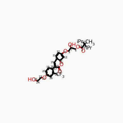 CC(C)C(C)(C(=O)OCC(O)COC1=CC2OC(=O)C(c3ccc(OCCO)cc3C(F)(F)F)=CC2C=C1)C(C)C